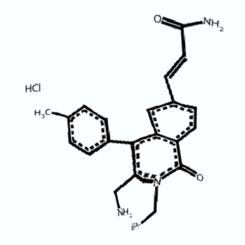 Cc1ccc(-c2c(CN)n(CC(C)C)c(=O)c3ccc(C=CC(N)=O)cc23)cc1.Cl